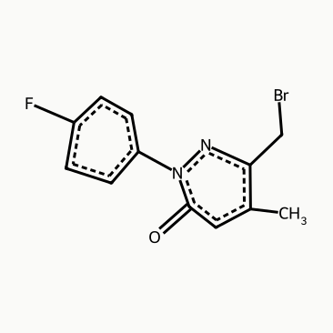 Cc1cc(=O)n(-c2ccc(F)cc2)nc1CBr